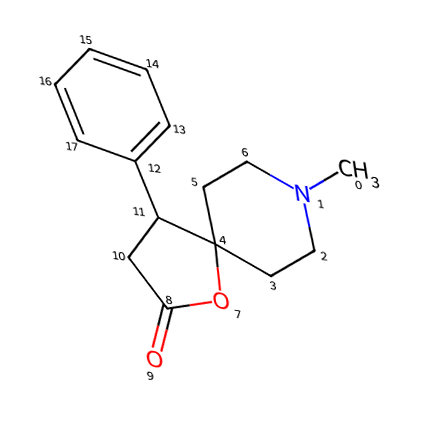 CN1CCC2(CC1)OC(=O)CC2c1ccccc1